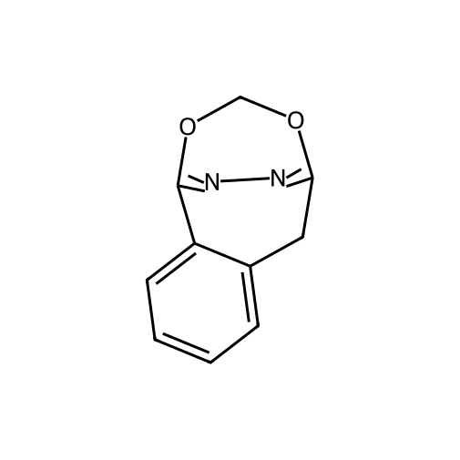 c1ccc2c(c1)CC1=NN=C2OCO1